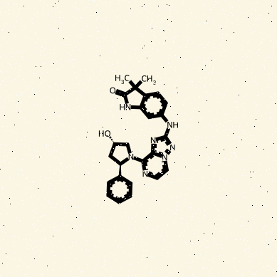 CC1(C)C(=O)Nc2cc(Nc3nc4c(N5C[C@@H](O)C[C@@H]5c5ccccc5)nccn4n3)ccc21